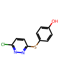 Oc1ccc(Sc2ccc(Cl)nn2)cc1